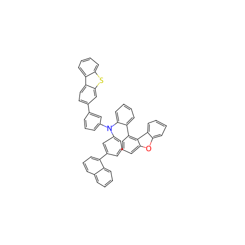 c1cc(-c2ccc3c(c2)sc2ccccc23)cc(N(c2cccc(-c3cccc4ccccc34)c2)c2ccccc2-c2cccc3oc4ccccc4c23)c1